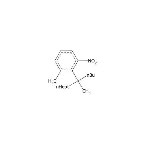 CCCCCCCC(C)(CCCC)c1c(C)cccc1[N+](=O)[O-]